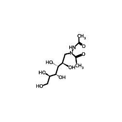 CC(=O)NN(C[C@@H](O)[C@@H](O)[C@H](O)[C@H](O)CO)C(C)=O